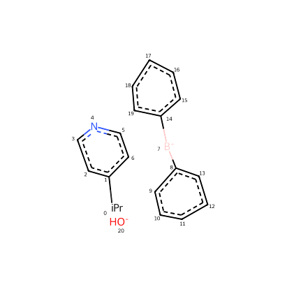 CC(C)c1ccncc1.[B+](c1ccccc1)c1ccccc1.[OH-]